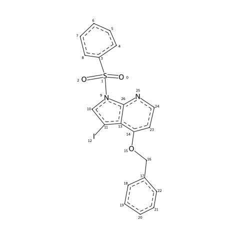 O=S(=O)(c1ccccc1)n1cc(I)c2c(OCc3ccccc3)ccnc21